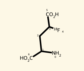 NC(CC([18F])C(=O)O)C(=O)O